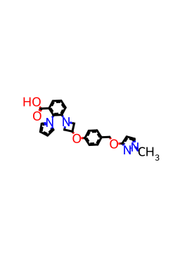 Cn1ccc(OCc2ccc(OC3CN(c4cccc(C(=O)O)c4-n4cccc4)C3)cc2)n1